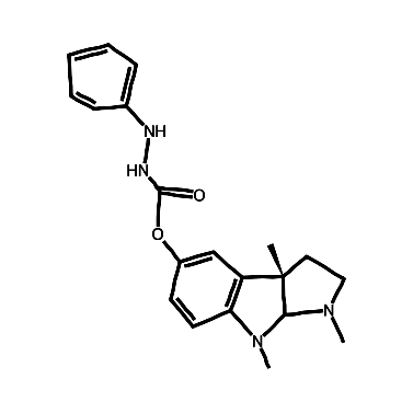 CN1CC[C@@]2(C)c3cc(OC(=O)NNc4ccccc4)ccc3N(C)C12